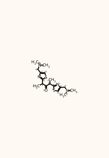 CC(C(=O)C(C)c1nc(CN(C)C)cs1)c1nc(CN(C)C)cs1